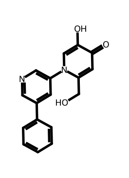 O=c1cc(CO)n(-c2cncc(-c3ccccc3)c2)cc1O